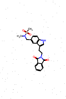 CN(Cc1ccc2[nH]cc(CCN3C(=O)c4ccccc4C3=O)c2c1)S(C)(=O)=O